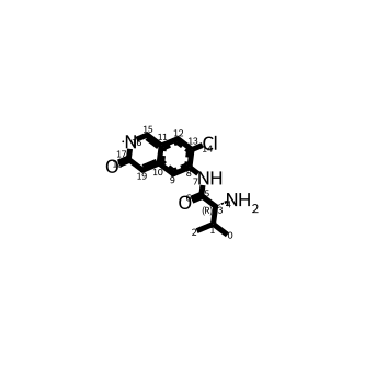 CC(C)[C@@H](N)C(=O)Nc1cc2c(cc1Cl)=C[N]C(=O)C=2